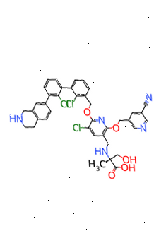 C[C@](CO)(NCc1cc(Cl)c(OCc2cccc(-c3cccc(-c4ccc5c(c4)CNCC5)c3Cl)c2Cl)nc1OCc1cncc(C#N)c1)C(=O)O